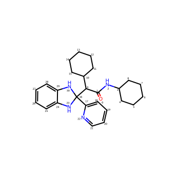 O=C(NC1CCCCC1)C(C1CCCCC1)C1(c2ccccn2)Nc2ccccc2N1